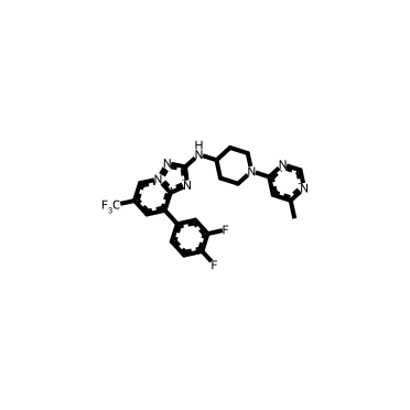 Cc1cc(N2CCC(Nc3nc4c(-c5ccc(F)c(F)c5)cc(C(F)(F)F)cn4n3)CC2)ncn1